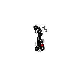 CC(c1ccccc1)N1Cc2ccc(N3CCN(CCCC4(C(=O)NCC(F)(F)F)c5ccccc5Sc5ccccc54)CC3)cc2C1=O